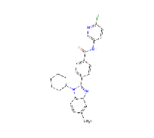 O=C(O)c1ccc2c(c1)nc(-c1ccc(C(=O)Nc3ccc(Cl)nc3)cc1)n2C1CCCCC1